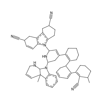 CC1CCCC(C2=CC=CCC2C2=C(C3=CC(n4c5c(c6c4CCC(C#N)C6)CC(C#N)C=C5)NC(N4c5ccccc5C5(C)C=CCNC45)C3)CCCC2)=C1C#N